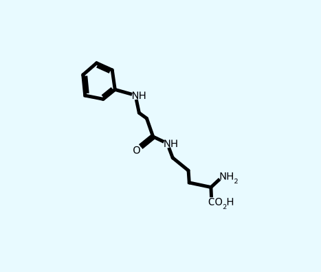 NC(CCCNC(=O)CCNc1ccccc1)C(=O)O